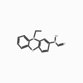 CCN1c2ccccc2Sc2ccc(N(S)C=O)cc21